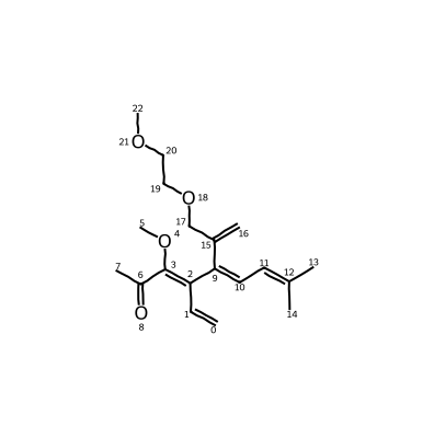 C=CC(=C(/OC)C(C)=O)/C(=C/C=C(C)C)C(=C)COCCOC